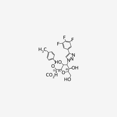 Cc1ccc(CO[C@H](C(=O)O)[C@@H]2OC(CO)[C@H](O)C(n3cc(-c4cc(F)c(F)c(F)c4)nn3)C2O)cc1